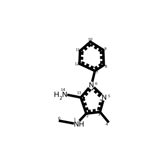 CNc1c(C)nn(-c2ccccc2)c1N